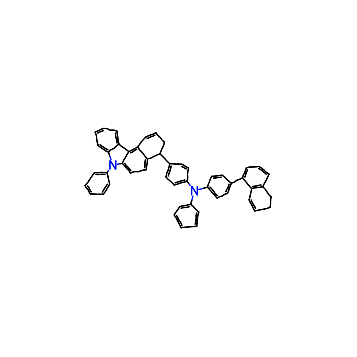 C1=Cc2c(cccc2-c2ccc(N(c3ccccc3)c3ccc(C4CC=Cc5c4ccc4c5c5ccccc5n4-c4ccccc4)cc3)cc2)CC1